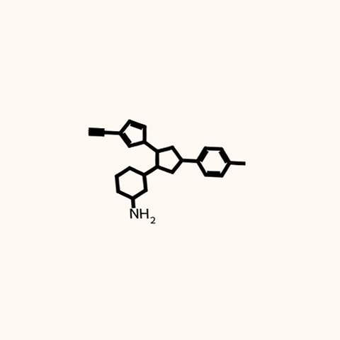 C#CC1=CC(C2CC(c3ccc(C)cc3)CC2C2CCCC(N)C2)C=C1